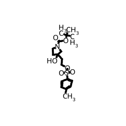 Cc1ccc(S(=O)(=O)OCCC2(O)CCN(C(=O)OC(C)(C)C)C2)cc1